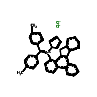 Cc1ccc([C](c2ccc(C)cc2)=[Zr+2]([c]2cccc3c2c2c(c4ccccc43)-c3ccccc3C2)[CH]2C=CC=C2)cc1.[Cl-].[Cl-]